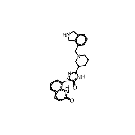 O=c1ccc2cccc(-n3nc(C4CCCN(Cc5cccc6c5CNC6)C4)[nH]c3=O)c2[nH]1